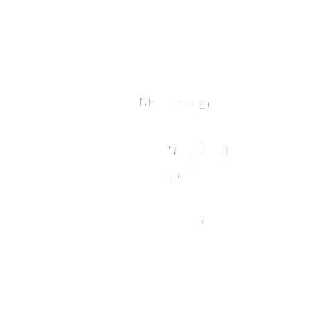 CCOC(=O)C1=CN(S(=O)(=O)c2cc(Cl)ccc2Cl)CCc2c1[nH]c1ccccc21